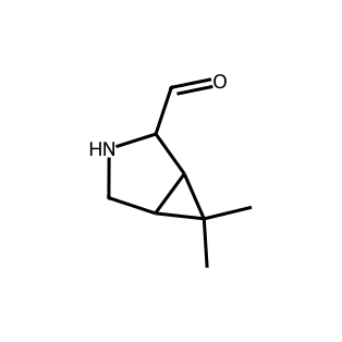 CC1(C)C2CNC(C=O)C21